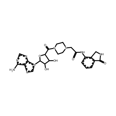 Nc1ncnc2c1ncn2C1OC(C(=O)N2CCN(CC(=O)Nc3cccc4c3CNC4=O)CC2)C(O)C1O